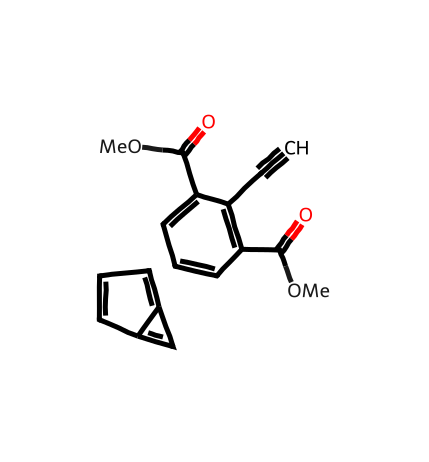 C#Cc1c(C(=O)OC)cccc1C(=O)OC.c1cc2cc-2c1